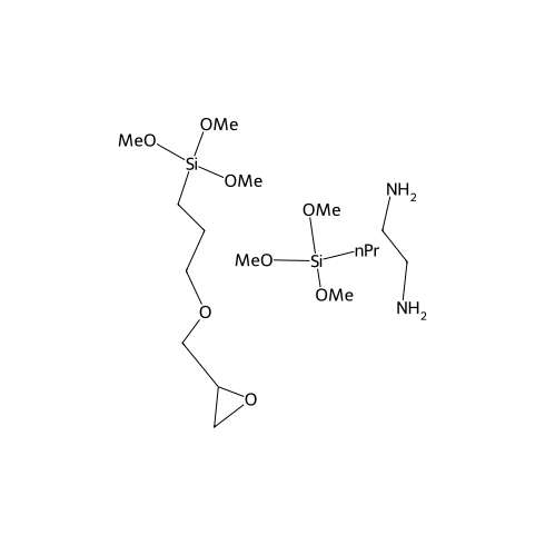 CCC[Si](OC)(OC)OC.CO[Si](CCCOCC1CO1)(OC)OC.NCCN